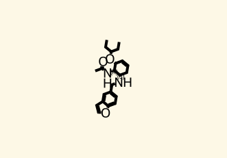 CCC(CC)OC1C=CC[C@H](NCc2ccc3occc3c2)[C@H]1NC(C)=O